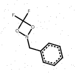 FC1(F)ON(Cc2ccccc2)O1